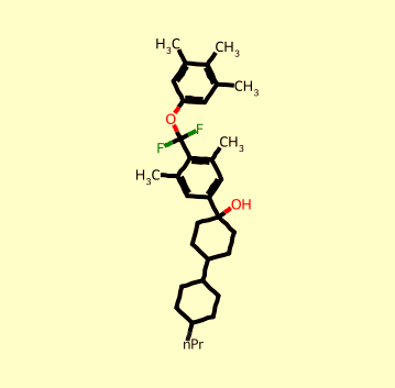 CCCC1CCC(C2CCC(O)(c3cc(C)c(C(F)(F)Oc4cc(C)c(C)c(C)c4)c(C)c3)CC2)CC1